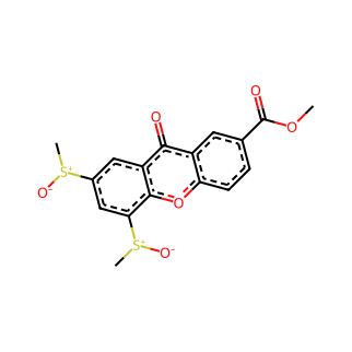 COC(=O)c1ccc2oc3c([S+](C)[O-])cc([S+](C)[O-])cc3c(=O)c2c1